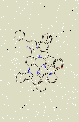 Cc1ccc2c(c1)c1ccccc1n2-c1c(-c2nc(-c3ccccc3)cc(-c3ccccc3)n2)ccc(-n2c3ccccc3c3ccc(-c4cccc(-c5ccccc5)n4)cc32)c1-c1nc(-c2ccccc2)cc(-c2ccccc2)n1